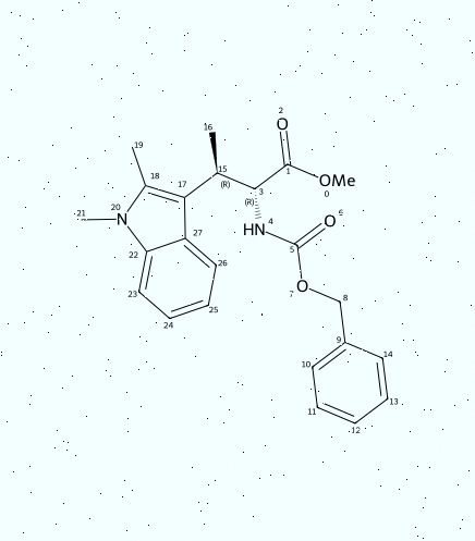 COC(=O)[C@H](NC(=O)OCc1ccccc1)[C@H](C)c1c(C)n(C)c2ccccc12